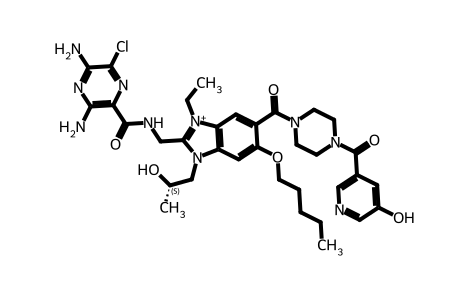 CCCCCOc1cc2c(cc1C(=O)N1CCN(C(=O)c3cncc(O)c3)CC1)[n+](CC)c(CNC(=O)c1nc(Cl)c(N)nc1N)n2C[C@H](C)O